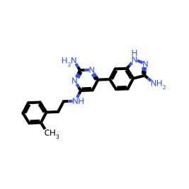 Cc1ccccc1CCNc1cc(-c2ccc3c(N)n[nH]c3c2)nc(N)n1